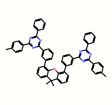 Cc1ccc(-c2nc(-c3ccccc3)nc(-c3cccc(-c4cccc5c4Oc4c(-c6cccc(-c7nc(-c8ccccc8)nc(-c8ccc(C)cc8)n7)c6)cccc4C5(C)C)c3)n2)cc1